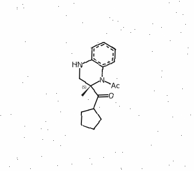 CC(=O)N1c2ccccc2NC[C@@]1(C)C(=O)C1CCCC1